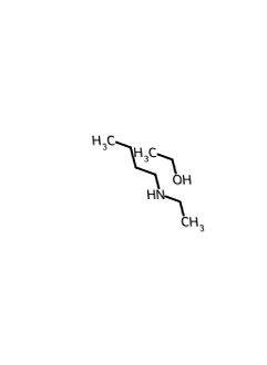 CCCCNCC.CCO